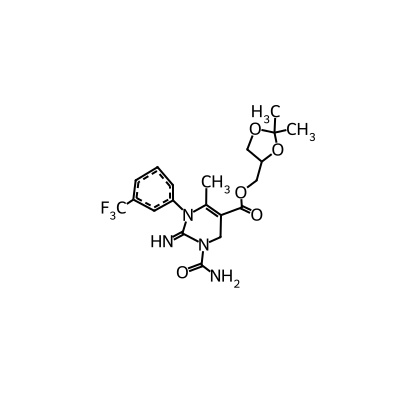 CC1=C(C(=O)OCC2COC(C)(C)O2)CN(C(N)=O)C(=N)N1c1cccc(C(F)(F)F)c1